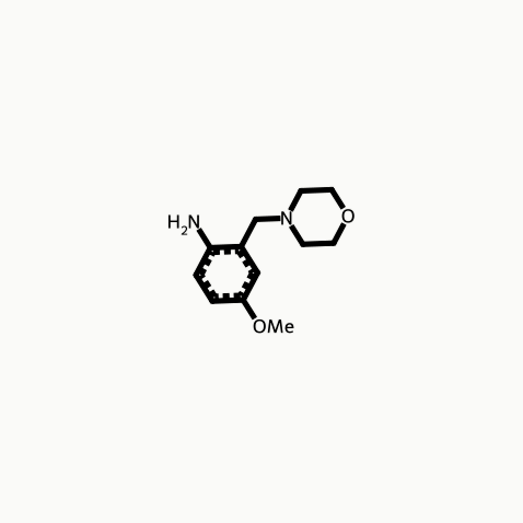 COc1ccc(N)c(CN2CCOCC2)c1